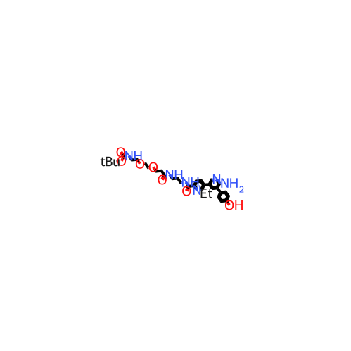 CCc1c(-c2ccc(C(=O)NCCCNC(=O)CCOCCOCCNC(=O)OC(C)(C)C)nc2)cnc(N)c1-c1ccc(O)cc1